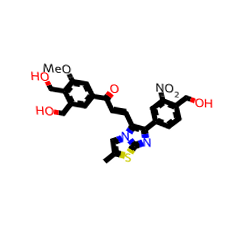 COc1cc(C(=O)/C=C/c2c(-c3ccc(CO)c([N+](=O)[O-])c3)nc3sc(C)cn23)cc(CO)c1CO